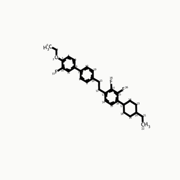 CCOc1ccc(-c2ccc(CCc3ccc(C4CCC(CC)CC4)c(F)c3F)cc2)cc1F